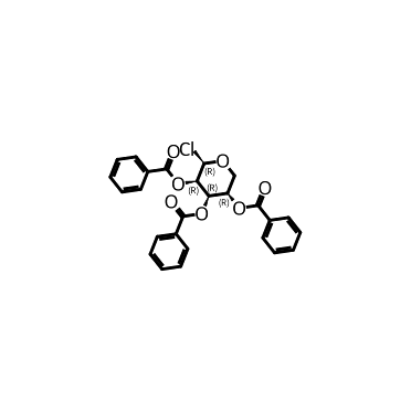 O=C(O[C@@H]1[C@H](OC(=O)c2ccccc2)[C@H](OC(=O)c2ccccc2)CO[C@@H]1Cl)c1ccccc1